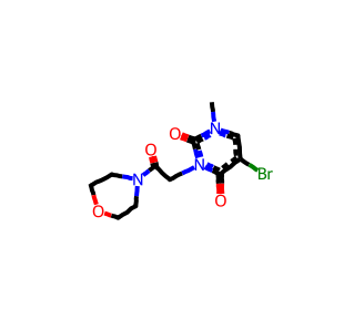 Cn1cc(Br)c(=O)n(CC(=O)N2CCOCC2)c1=O